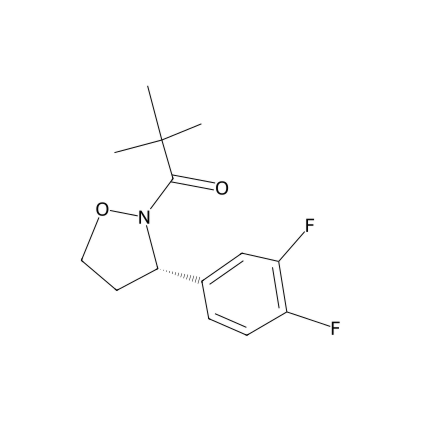 CC(C)(C)C(=O)N1OCC[C@H]1c1ccc(F)c(F)c1